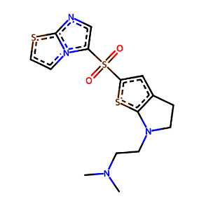 CN(C)CCN1CCc2cc(S(=O)(=O)c3cnc4sccn34)sc21